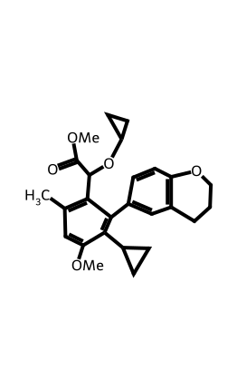 COC(=O)C(OC1CC1)c1c(C)cc(OC)c(C2CC2)c1-c1ccc2c(c1)CCCO2